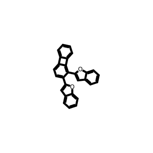 c1ccc2c(c1)-c1ccc(-c3cc4ccccc4o3)c(-c3cc4ccccc4o3)c1-2